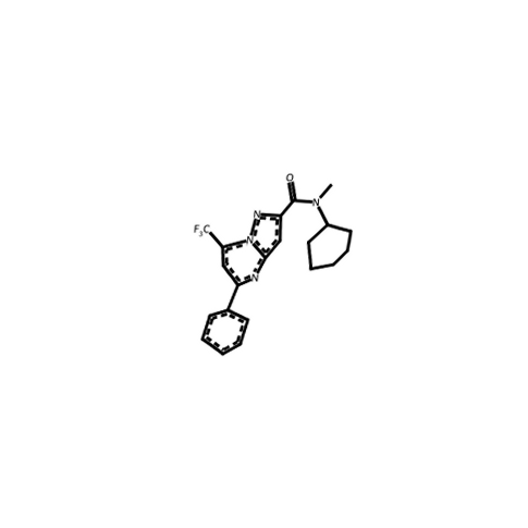 CN(C(=O)c1cc2nc(-c3ccccc3)cc(C(F)(F)F)n2n1)C1CCCCC1